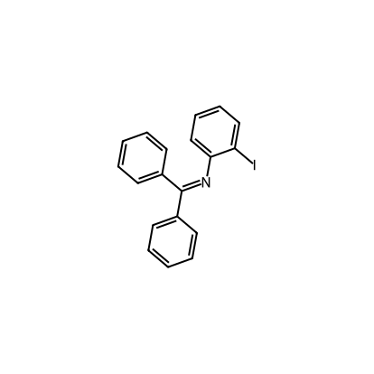 Ic1ccccc1N=C(c1ccccc1)c1ccccc1